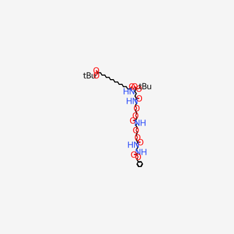 CC(C)(C)OC(=O)CCCCCCCCCCCCCCC(=O)NC(CCC(=O)NCCOCCOCC(=O)NCCOCCOCC(=O)NCCNC(=O)OCc1ccccc1)C(=O)OC(C)(C)C